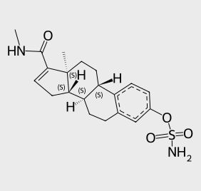 CNC(=O)C1=CC[C@H]2[C@@H]3CCc4cc(OS(N)(=O)=O)ccc4[C@H]3CC[C@]12C